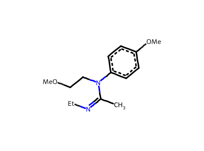 CC/N=C(/C)N(CCOC)c1ccc(OC)cc1